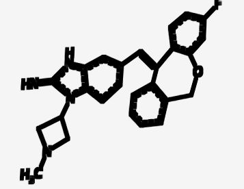 CN1CC(n2c(=N)[nH]c3cc(/C=C4\c5ccccc5COc5cc(F)ccc54)ccc32)C1